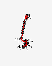 CCCN(Cc1ccc(CN(C)C)cc1)C(=O)C1=Cc2sc(CCCCCN(C)CCOCCOCCOCCOCCOCCOCCOCCOCCOCCOC(CC)c3c(F)c(F)cc(F)c3F)cc2N=C(N)C1